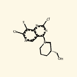 OC[C@@H]1CCCN(c2nc(Cl)nc3c(F)c(Cl)ncc23)C1